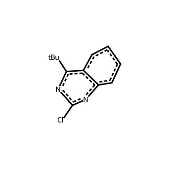 CC(C)(C)c1nc(Cl)nc2ccccc12